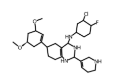 COC1C=C(C2CCC3=C(C2)C(NC2CCC(F)C(Cl)C2)NC(C2=CCCNC2)N3)C[C@@H](OC)C1